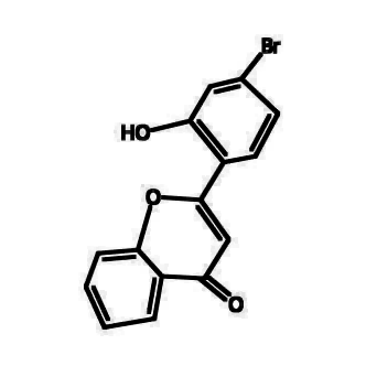 O=c1cc(-c2ccc(Br)cc2O)oc2ccccc12